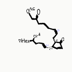 CCCCCCC(O)C/C=C/[C@H]1C=CC(=O)[C@@H]1C/C=C\CCCC(=O)COC(C)=O